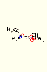 CCCCCCCC(=O)N(C)Cc1cccc(-c2ccc(/C=C(\OCC)C(=O)OCC)cc2)c1